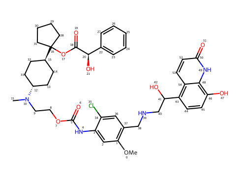 COc1cc(NC(=O)OCCN(C)[C@H]2CC[C@H](C3(OC(=O)[C@H](O)c4ccccc4)CCCC3)CC2)c(Cl)cc1CNCC(O)c1ccc(O)c2[nH]c(=O)ccc12